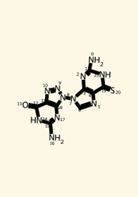 Nc1nc2c(ncn2-n2nnc3c(=O)[nH]c(N)nc32)c(=S)[nH]1